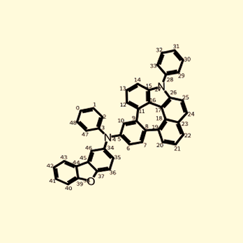 c1ccc(N(c2ccc3c(c2)-c2cccc4c2c2c5c-3cccc5ccc2n4-c2ccccc2)c2ccc3oc4ccccc4c3c2)cc1